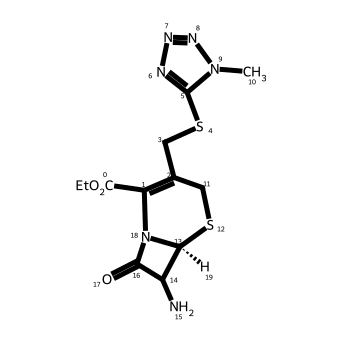 CCOC(=O)C1=C(CSc2nnnn2C)CS[C@H]2C(N)C(=O)N12